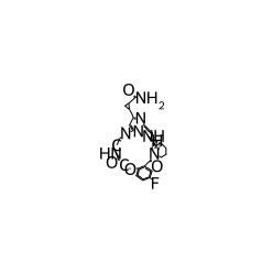 CN1CCNC(=O)COc2ccc(F)cc2C(=O)N2CCCC[C@H]2C2C=C3N=C(C4CC4C(N)=O)C=C1N3N2